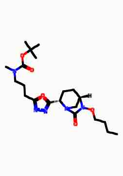 CCCCON1C(=O)N2C[C@@H]1CC[C@H]2c1nnc(CCCN(C)C(=O)OC(C)(C)C)o1